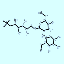 CC(C)(C)C[C@@H](O)[C@@H](O)[C@H](O)[C@H](O)CO[C@H]1O[C@H](CO)[C@@H](O)[C@H](O[C@H]2O[C@H](CO)[C@@H](O)[C@H](O)[C@@H]2O)[C@@H]1O